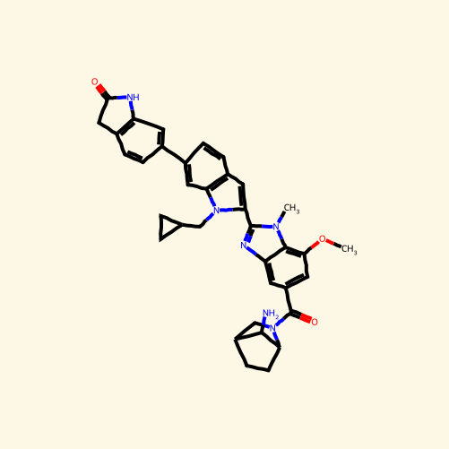 COc1cc(C(=O)N2CC3CCC2C3N)cc2nc(-c3cc4ccc(-c5ccc6c(c5)NC(=O)C6)cc4n3CC3CC3)n(C)c12